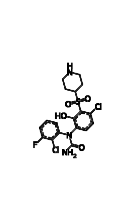 NC(=O)N(c1ccc(Cl)c(S(=O)(=O)C2CCNCC2)c1O)c1cccc(F)c1Cl